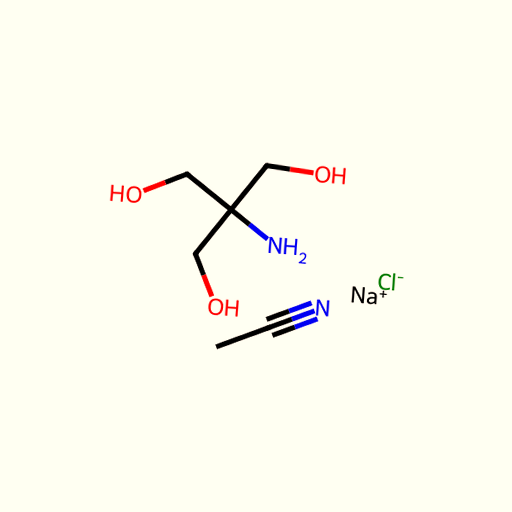 CC#N.NC(CO)(CO)CO.[Cl-].[Na+]